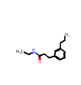 CCCc1cccc(CCC(=O)NCC)c1